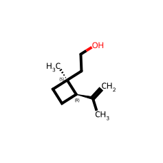 C=C(C)[C@H]1CC[C@@]1(C)CCO